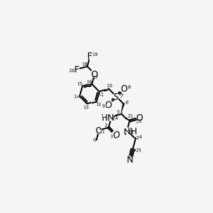 COC(=O)N[C@@H](CS(=O)(=O)Cc1ccccc1OC(F)F)C(=O)NCC#N